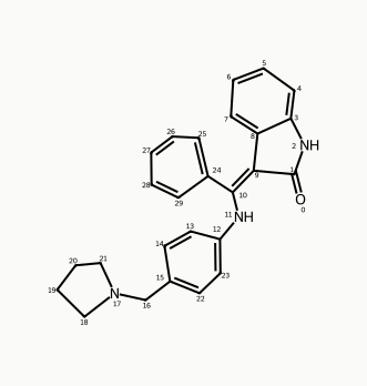 O=C1Nc2ccccc2/C1=C(/Nc1ccc(CN2CCCC2)cc1)c1ccccc1